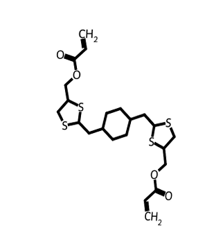 C=CC(=O)OCC1CSC(CC2CCC(CC3SCC(COC(=O)C=C)S3)CC2)S1